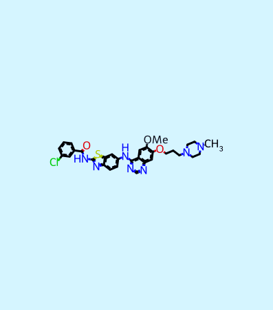 COc1cc2c(Nc3ccc4nc(NC(=O)c5cccc(Cl)c5)sc4c3)ncnc2cc1OCCCN1CCN(C)CC1